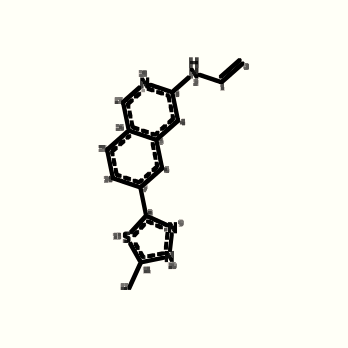 C=CNc1cc2cc(-c3nnc(C)s3)ccc2cn1